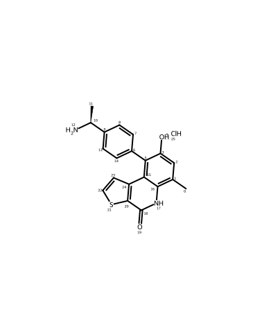 Cc1cc(O)c(-c2ccc([C@H](C)N)cc2)c2c1[nH]c(=O)c1sccc12.Cl